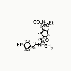 CCO[C@H](Cc1ccc(OC(C)C(=O)NCCc2ccc(CC)cc2)cc1)C(=O)O